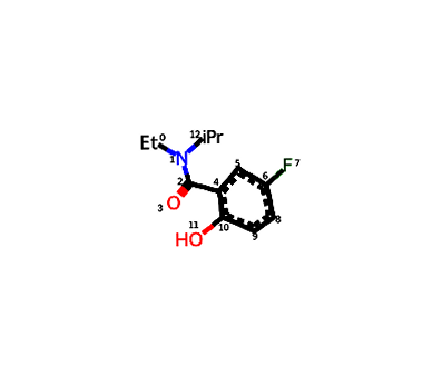 CCN(C(=O)c1cc(F)ccc1O)C(C)C